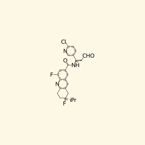 CC(C)[C@]1(F)CCc2nc3c(F)cc(C(=O)N[C@H](CC=O)c4ccc(Cl)nc4)cc3cc2C1